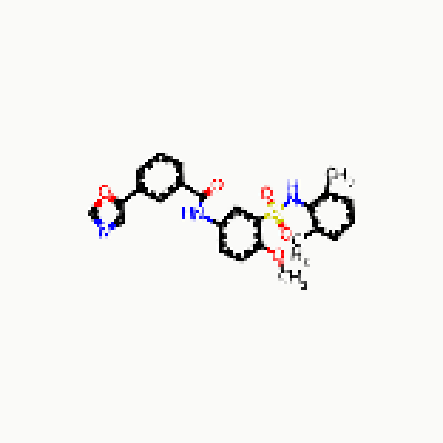 COc1ccc(NC(=O)c2cccc(-c3cnco3)c2)cc1S(=O)(=O)Nc1c(C)cccc1C